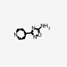 Nc1nc(-c2ccncc2)no1